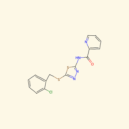 O=C(Nc1nnc(SCc2ccccc2Cl)s1)c1ccccn1